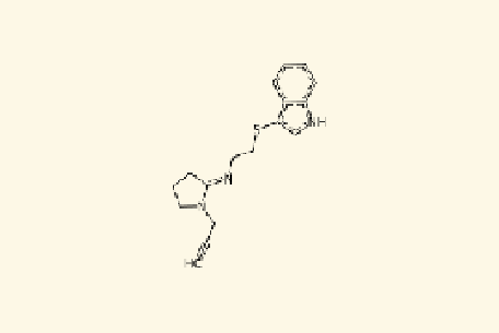 C#CCN1CCC/C1=N\CCSc1c[nH]c2ccccc12